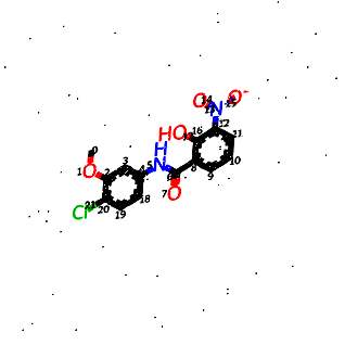 COc1cc(NC(=O)c2cccc([N+](=O)[O-])c2O)ccc1Cl